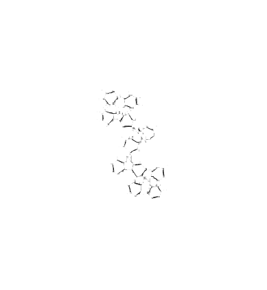 C1=CN2c3cc(-n4c5ccccc5c5cc([Si](c6ccccc6)(c6ccccc6)c6ccccc6)ccc54)ccc3N(c3ccc([Si](c4ccccc4)(c4ccccc4)c4ccccc4)cc3)N2C=C1